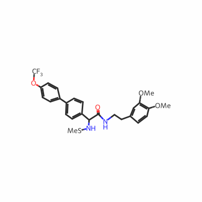 COc1ccc(CCNC(=O)C(NSC)c2ccc(-c3ccc(OC(F)(F)F)cc3)cc2)cc1OC